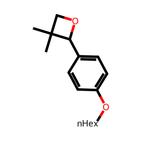 CCCCCCOc1ccc(C2OCC2(C)C)cc1